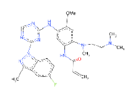 C=CC(=O)Nc1cc(Nc2ncnc(-n3nc(C)c4cc(F)ccc43)n2)c(OC)cc1N(C)CCN(C)C